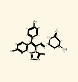 Cc1nnnn1C(C=C[C@H]1C[C@H](O)CC(=O)O1)=C(c1ccc(F)cc1)c1ccc(F)cc1